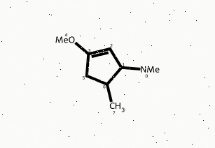 CNC1C=C(OC)CC1C